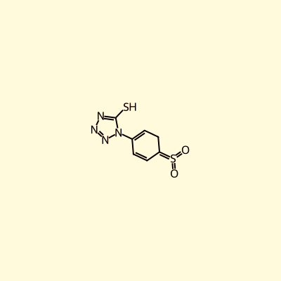 O=S(=O)=C1C=CC(n2nnnc2S)=CC1